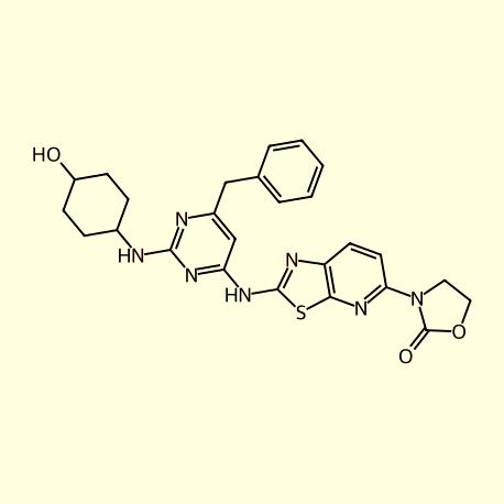 O=C1OCCN1c1ccc2nc(Nc3cc(Cc4ccccc4)nc(NC4CCC(O)CC4)n3)sc2n1